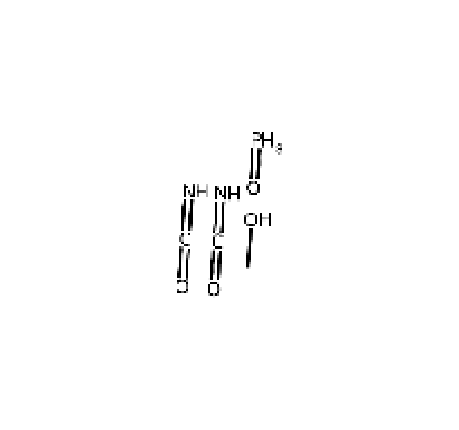 CO.N=C=O.N=C=O.O=[PH3]